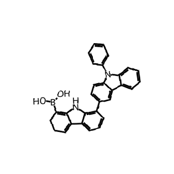 OB(O)C1=c2[nH]c3c(-c4ccc5c(c4)c4ccccc4n5-c4ccccc4)cccc3c2=CCC1